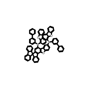 c1ccc(-c2cccc(N(c3ccc4oc5c6c(cc(N(c7cccc(-c8ccccc8)c7)c7cccc8c7oc7ccccc78)c5c4c3)C3(c4ccccc4-c4ccccc43)c3ccccc3-6)c3cccc4c3oc3ccccc34)c2)cc1